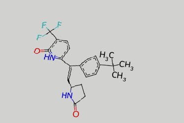 CC(C)(C)c1ccc(/C(=C\[C@H]2CCC(=O)N2)c2ccc(C(F)(F)F)c(=O)[nH]2)cc1